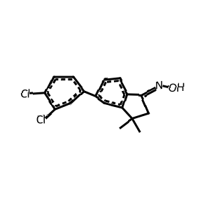 CC1(C)C/C(=N\O)c2ccc(-c3ccc(Cl)c(Cl)c3)cc21